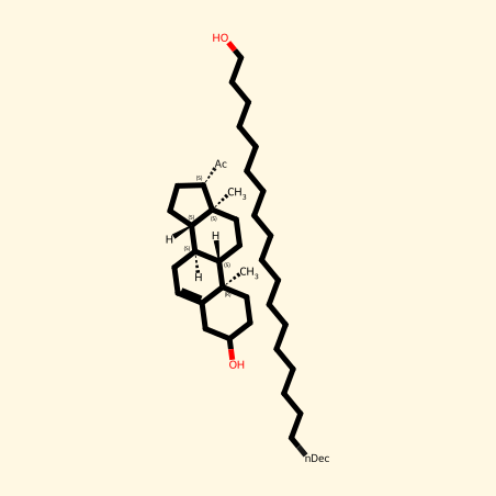 CC(=O)[C@H]1CC[C@H]2[C@@H]3CC=C4CC(O)CC[C@]4(C)[C@H]3CC[C@]12C.CCCCCCCCCCCCCCCCCCCCCCCCCCCCO